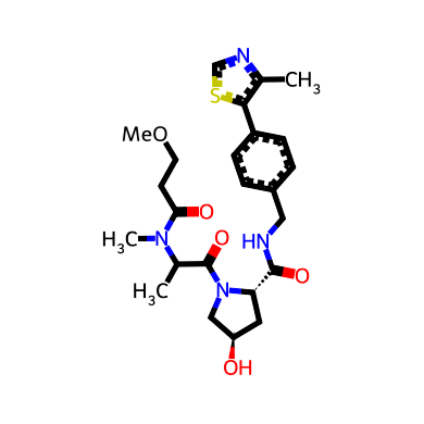 COCCC(=O)N(C)C(C)C(=O)N1C[C@H](O)C[C@H]1C(=O)NCc1ccc(-c2scnc2C)cc1